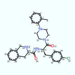 Cc1ccccc1N1CCN(C(=O)[C@@H](Cc2ccc(Cl)cc2)NC(=O)[C@H]2Cc3ccccc3CN2)CC1